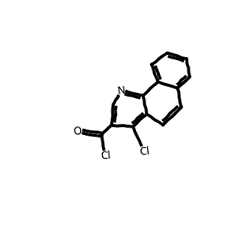 O=C(Cl)c1cnc2c(ccc3ccccc32)c1Cl